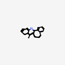 Cc1c2c(nc3ccccc13)-c1ccccc1CCC2